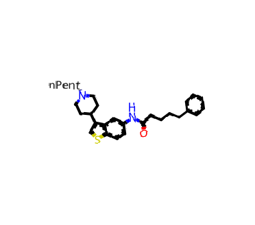 CCCCCN1CCC(c2csc3ccc(NC(=O)CCCCc4ccccc4)cc23)CC1